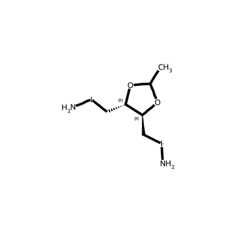 CC1O[C@@H](C[I]N)[C@H](C[I]N)O1